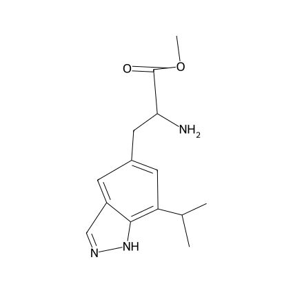 COC(=O)C(N)Cc1cc(C(C)C)c2[nH]ncc2c1